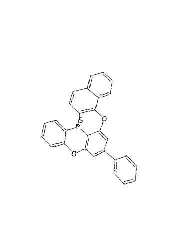 S=P12c3ccccc3Oc3cc(-c4ccccc4)cc(c31)Oc1c2ccc2ccccc12